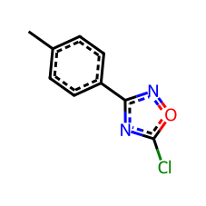 Cc1ccc(-c2noc(Cl)n2)cc1